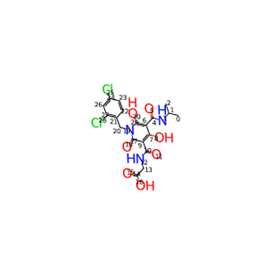 CC(C)NC(=O)c1c(O)c(C(=O)NCC(=O)O)c(=O)n(Cc2ccc(Cl)cc2Cl)c1O